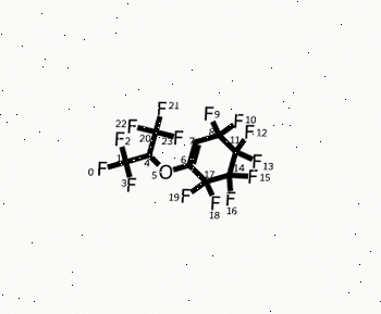 FC(F)(F)C(OC1=CC(F)(F)C(F)(F)C(F)(F)C1(F)F)C(F)(F)F